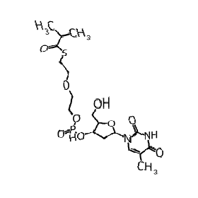 Cc1cn([C@H]2C[C@@H](O[PH](=O)OCCOCCSC(=O)C(C)C)C(CO)O2)c(=O)[nH]c1=O